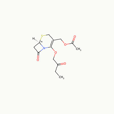 CCC(=O)COC1=C(COC(C)=O)CS[C@@H]2CC(=O)N12